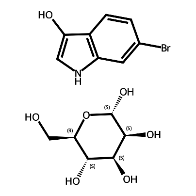 OC[C@H]1O[C@H](O)[C@@H](O)[C@@H](O)[C@@H]1O.Oc1c[nH]c2cc(Br)ccc12